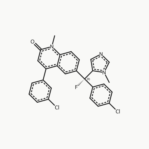 Cn1cncc1[C@@](F)(c1ccc(Cl)cc1)c1ccc2c(c1)c(-c1cccc(Cl)c1)cc(=O)n2C